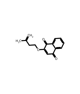 C=C(C)CCOC1=CC(=O)c2ccccc2C1=O